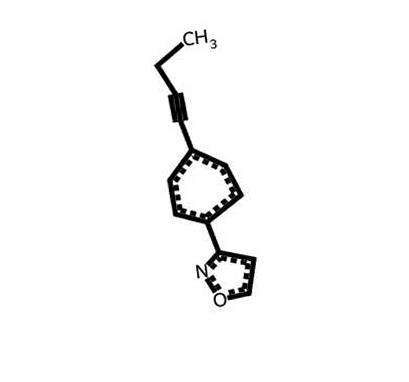 CCC#Cc1ccc(-c2ccon2)cc1